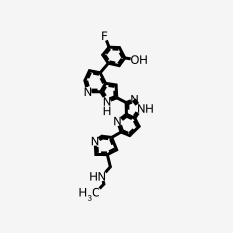 CCNCc1cncc(-c2ccc3[nH]nc(-c4cc5c(-c6cc(O)cc(F)c6)ccnc5[nH]4)c3n2)c1